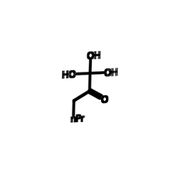 CCCCC(=O)C(O)(O)O